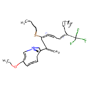 C=C(/C(=C\C=C(/C)C(F)(F)F)SCC)c1ccc(OC)cn1